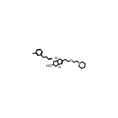 Cc1cccc(CC/C=C/[C@@H]2[C@H]3CC(CCOCCN4CCCCC4)=C[C@H]3C[C@H]2O)c1